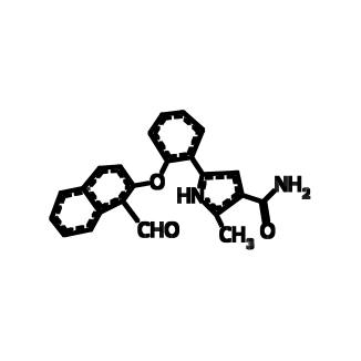 Cc1[nH]c(-c2ccccc2Oc2ccc3ccccc3c2C=O)cc1C(N)=O